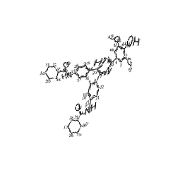 COc1cc(-c2nc(-c3ccc(NC(=O)C4CCCCC4)cc3)c(-c3ccc(NC(=O)C4CCCCC4)cc3)[nH]2)cc(OC)c1O